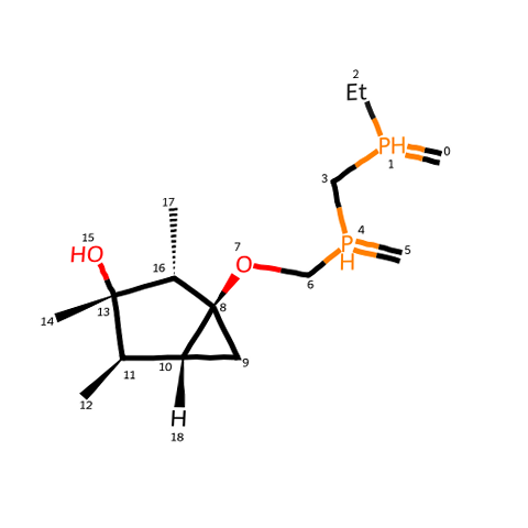 C=[PH](CC)C[PH](=C)CO[C@@]12C[C@@H]1[C@@H](C)[C@](C)(O)[C@@H]2C